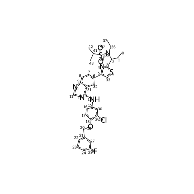 CCC(c1nc(-c2ccc3ncnc(Nc4ccc(OCc5cccc(F)c5)c(Cl)c4)c3c2)cs1)N(CC)S(=O)(=O)C(C)C